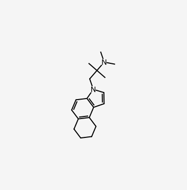 CN(C)C(C)(C)Cn1ccc2c3c(ccc21)CCCC3